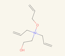 C=CCO[N+](CC=C)(CC=C)CCO